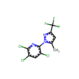 Cc1cc(C(F)(F)F)nn1-c1nc(Cl)c(Cl)cc1Cl